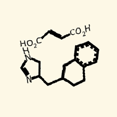 C1=NC(CC2CCc3ccccc3C2)CN1.O=C(O)C=CC(=O)O